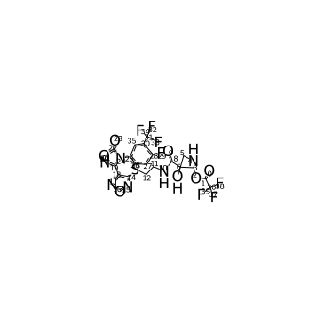 O=C(OC1NCC1(O)C(=O)NCCSc1nonc1-c1noc(=O)n1-c1ccc(F)c(C(F)(F)F)c1)C(F)(F)F